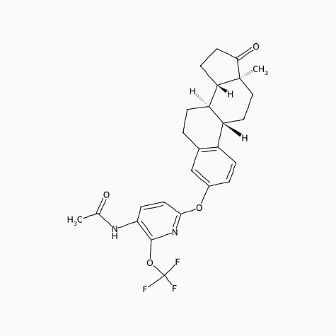 CC(=O)Nc1ccc(Oc2ccc3c(c2)CC[C@@H]2[C@@H]3CC[C@]3(C)C(=O)CC[C@@H]23)nc1OC(F)(F)F